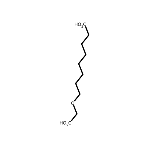 O=C(O)CCCCCCCOCC(=O)O